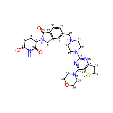 O=C1CCC(N2Cc3cc(CN4CCN(c5nc6c(c(N7CCOCC7)n5)SCC6)CC4)ccc3C2=O)C(=O)N1